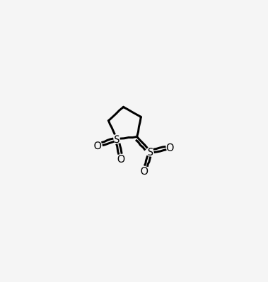 O=S(=O)=C1CCCS1(=O)=O